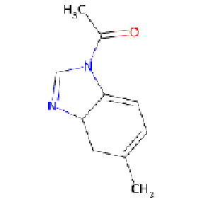 CC(=O)N1C=NC2CC(C)=CC=C21